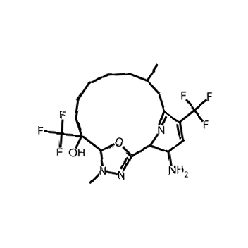 CC1CCCCCC(O)(C(F)(F)F)C2OC(=NN2C)C2N=C(C1)C(C(F)(F)F)=CC2N